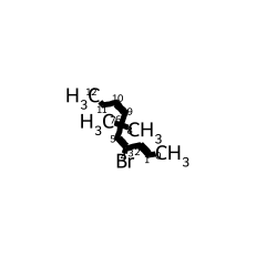 C/C=C/C(Br)=C\C(C)(C)/C=C\CC